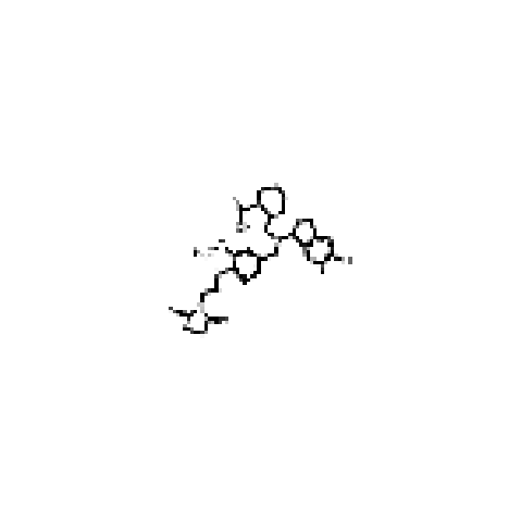 COc1cc(CN(CC2CCCCC2C(=O)O)C2CCc3cc(Cl)c(F)cc32)ccc1OCCN1C(=O)CCC1=O